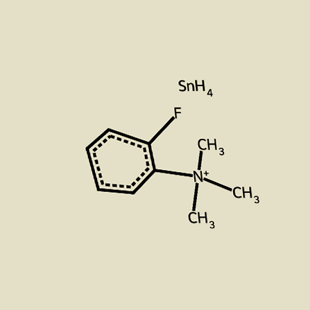 C[N+](C)(C)c1ccccc1F.[SnH4]